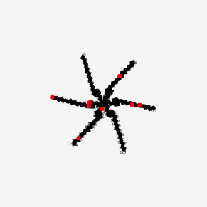 CCCCCCCCCCCCCCCCc1ccc(CCc2c(CCc3ccc(CCCCCCCCCCCCCCCC)cc3)c(CCc3ccc(CCCCCCCCCCCCCCCC)cc3)c(CCc3ccc(CCCCCCCCCCCCCCCC)cc3)c(CCc3ccc(CCCCCCCCCCCCCCCC)cc3)c2CCc2ccc(CCCCCCCCCCCCCCCC)cc2)cc1